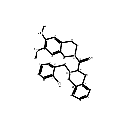 COc1cc2c(cc1OC)CN(C(=O)C1Cc3ccccc3CN1Cc1ccccc1Cl)CC2